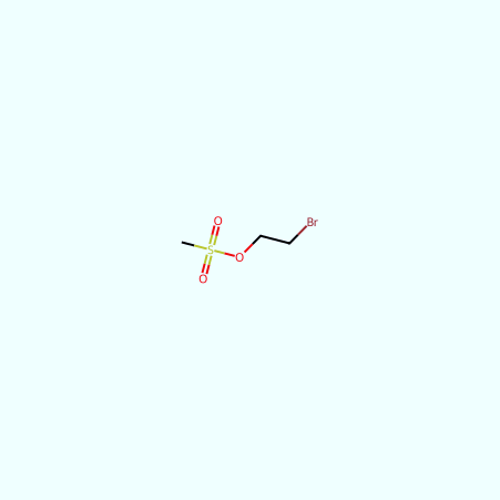 CS(=O)(=O)OCCBr